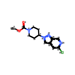 CC(C)(C)OC(=O)N1CCC(n2cc3cc(Cl)ncc3n2)CC1